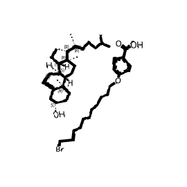 CC(C)CCC[C@@H](C)[C@H]1CC[C@H]2[C@@H]3CC=C4C[C@@H](O)CC[C@]4(C)[C@H]3CC[C@]12C.O=C(O)c1ccc(OCCCCCCCCCCCBr)cc1